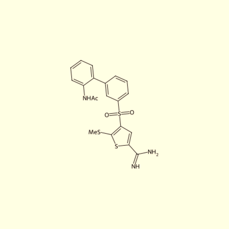 CSc1sc(C(=N)N)cc1S(=O)(=O)c1cccc(-c2ccccc2NC(C)=O)c1